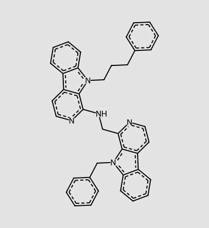 c1ccc(CCCn2c3ccccc3c3ccnc(NCc4nccc5c6ccccc6n(Cc6ccccc6)c45)c32)cc1